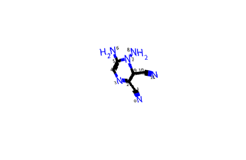 N#CC1=NC=C(N)N(N)C1C#N